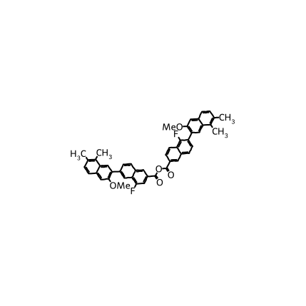 COc1cc2ccc(C)c(C)c2cc1-c1ccc2cc(C(=O)OC(=O)c3ccc4c(F)c(-c5cc6c(C)c(C)ccc6cc5OC)ccc4c3)cc(F)c2c1